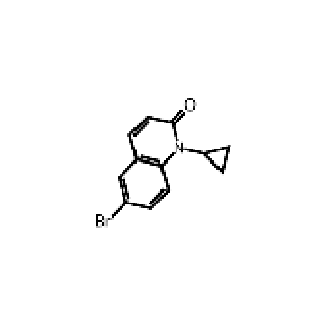 O=c1ccc2cc(Br)ccc2n1C1CC1